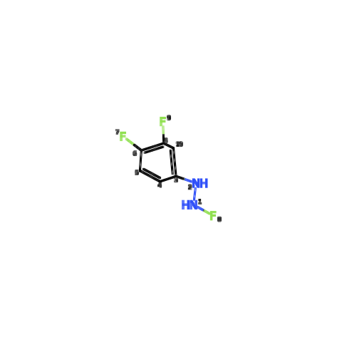 FNNc1ccc(F)c(F)c1